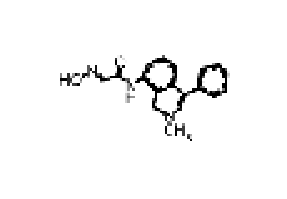 CN1C=C(c2ccccc2)c2cccc(NC(=O)C=NO)c2C1